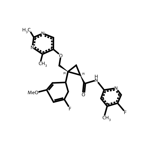 COC1=CC([C@]2(COc3cnc(C)nc3C)C[C@H]2C(=O)Nc2cc(C)c(F)cn2)CC(F)=C1